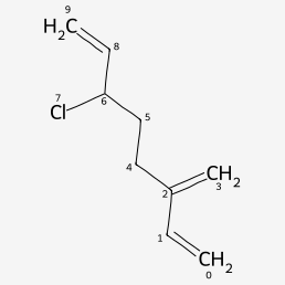 C=CC(=C)CCC(Cl)C=C